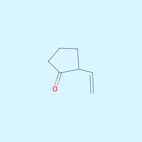 C=CC1CCCC1=O